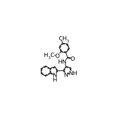 COc1cc(C)ccc1C(=O)Nc1c[nH]nc1-c1cc2ccccc2[nH]1